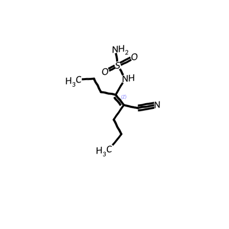 CCC/C(C#N)=C(\CCC)NS(N)(=O)=O